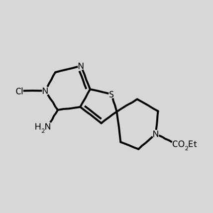 CCOC(=O)N1CCC2(C=C3C(=NCN(Cl)C3N)S2)CC1